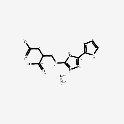 O=C([O-])CC(CSc1nnc(-c2cccs2)s1)C(=O)[O-].[Na+].[Na+]